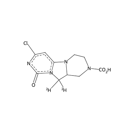 [2H]C1([2H])C2CN(C(=O)O)CCN2c2cc(Cl)nc(=O)n21